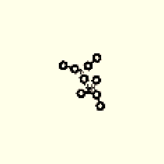 c1ccc(-c2ccc(N(c3ccc(-c4ccccc4)cc3)c3ccc(-n4c5ccccc5c5c6cc(-c7ccccc7)ccc6n(-c6ccccc6)c54)cc3)cc2)cc1